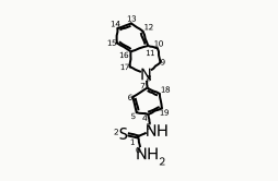 NC(=S)Nc1ccc(N2CCc3ccccc3C2)cc1